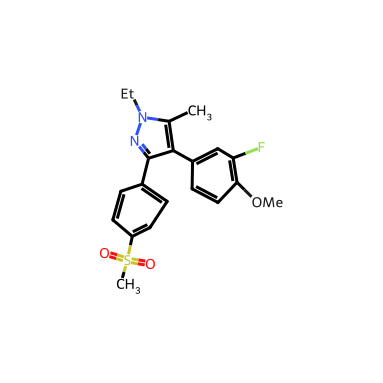 CCn1nc(-c2ccc(S(C)(=O)=O)cc2)c(-c2ccc(OC)c(F)c2)c1C